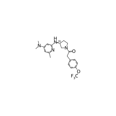 Cc1cc(N(C)C)cc(N[C@H]2CCN(C(=O)Cc3ccc(OC(F)(F)F)cc3)C2)n1